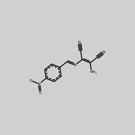 N#C/C(N)=C(\C#N)N=Cc1ccc([N+](=O)[O-])cc1